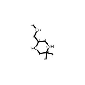 COCC1CNC(C)(C)CO1